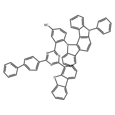 N#Cc1ccc(-n2c3ccccc3c3ccc4c(c5ccccc5n4-c4ccccc4)c32)c(-c2nc(-c3ccc(-c4ccccc4)cc3)nc(-c3cccc4c3oc3ccccc34)n2)c1